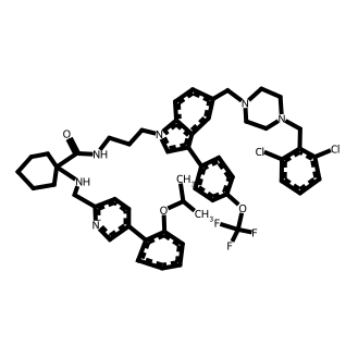 CC(C)Oc1ccccc1-c1ccc(CNC2(C(=O)NCCCn3cc(-c4ccc(OC(F)(F)F)cc4)c4cc(CN5CCN(Cc6c(Cl)cccc6Cl)CC5)ccc43)CCCCC2)nc1